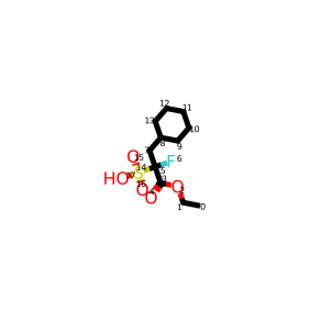 CCOC(=O)C(F)(CC1CCCCC1)S(=O)(=O)O